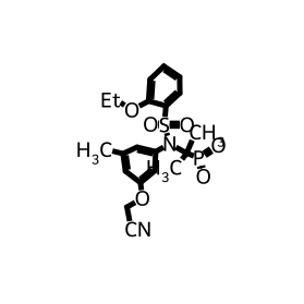 CCOc1ccccc1S(=O)(=O)N(c1cc(C)cc(OCC#N)c1)C(C)(C)P(=O)=O